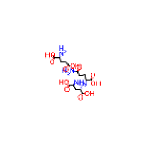 NC(=O)CCC(N)C(=O)O.NC(CCC(=O)O)C(=O)O.NC(CCC(=O)O)C(=O)O